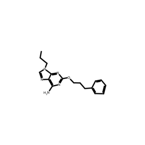 CCCn1cnc2c(N)nc(OCCCc3ccccc3)nc21